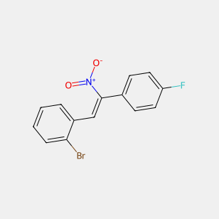 O=[N+]([O-])/C(=C\c1ccccc1Br)c1ccc(F)cc1